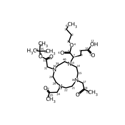 CCCCOC(=O)[C@@H](CCC(=O)O)N1CCN(CC(C)=O)CCN(CC(C)=O)CCN(CC(=O)OC(C)(C)C)CC1